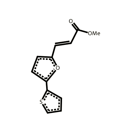 COC(=O)C=Cc1ccc(-c2cccs2)o1